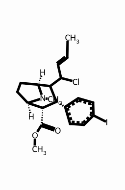 C/C=C/C(Cl)C1[C@H](c2ccc(I)cc2)[C@H](C(=O)OC)[C@H]2CC[C@@H]1N2C